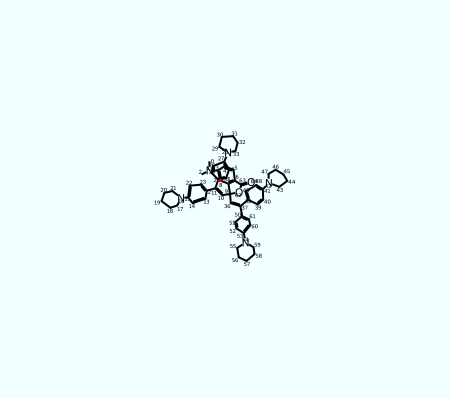 CN(C)c1ccc2c(c1)C(C=C(c1ccc(N3CCCCC3)cc1)c1ccc(N3CCCCC3)cc1)(C=C(c1ccc(N3CCCCC3)cc1)c1ccc(N3CCCCC3)cc1)OC2=O